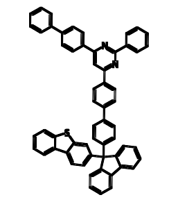 c1ccc(-c2ccc(-c3cc(-c4ccc(-c5ccc(C6(c7ccc8c(c7)sc7ccccc78)c7ccccc7-c7ccccc76)cc5)cc4)nc(-c4ccccc4)n3)cc2)cc1